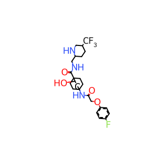 O=C(COc1ccc(F)cc1)NC12CCC(C(=O)NCC3CCC(C(F)(F)F)CN3)(CC1)C(O)C2